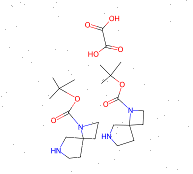 CC(C)(C)OC(=O)N1CCC12CCNC2.CC(C)(C)OC(=O)N1CCC12CCNC2.O=C(O)C(=O)O